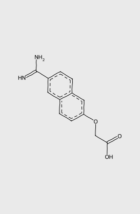 N=C(N)c1ccc2cc(OCC(=O)O)ccc2c1